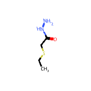 CCSCC(=O)NN